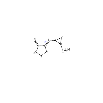 O=C1SCC/C1=C\C1CC1C(=O)O